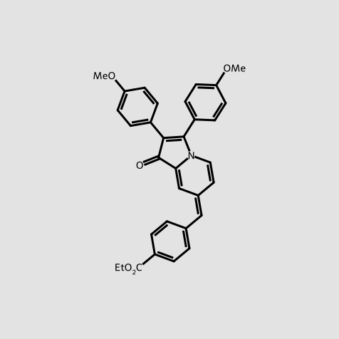 CCOC(=O)c1ccc(C=C2C=CN3C(=C2)C(=O)C(c2ccc(OC)cc2)=C3c2ccc(OC)cc2)cc1